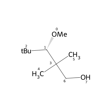 CO[C@@H](C(C)(C)C)C(C)(C)CO